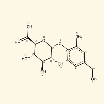 Nc1cc(CO)ccc1O[C@H]1O[C@H](C(=O)O)[C@@H](O)[C@H](O)[C@H]1O